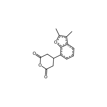 Cc1oc2c(C3CC(=O)OC(=O)C3)cccc2c1C